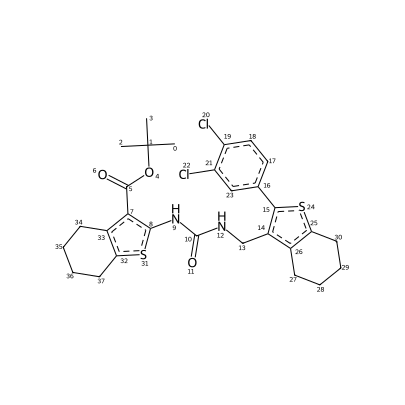 CC(C)(C)OC(=O)c1c(NC(=O)NCc2c(-c3ccc(Cl)c(Cl)c3)sc3c2CCCC3)sc2c1CCCC2